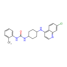 O=C(Nc1ccccc1C(F)(F)F)NC1CCC(Nc2ccnc3cc(Cl)ccc23)CC1